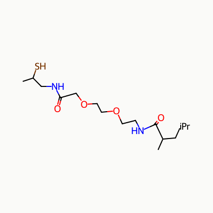 CC(C)CC(C)C(=O)NCCOCCOCC(=O)NCC(C)S